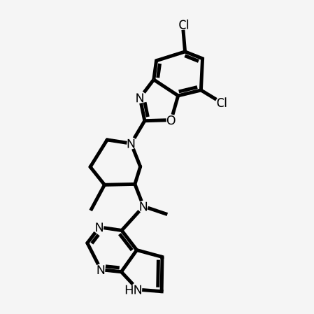 CC1CCN(c2nc3cc(Cl)cc(Cl)c3o2)CC1N(C)c1ncnc2[nH]ccc12